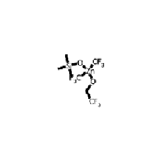 C[Si](C)(C)[O][Zn]([O]CC(F)(F)F)([C](F)(F)F)[C](F)(F)F